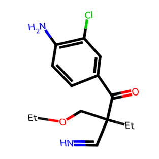 CCOCC(C=N)(CC)C(=O)c1ccc(N)c(Cl)c1